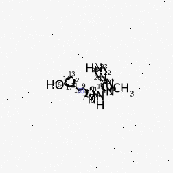 Cc1nc(Nc2ncc(/C=C/c3cccc(O)c3)s2)cc(N2CCNCC2)n1